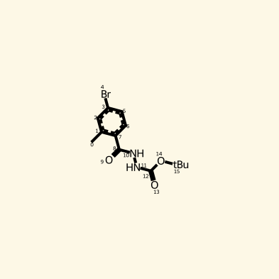 Cc1cc(Br)ccc1C(=O)NNC(=O)OC(C)(C)C